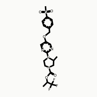 CC1CN(C(=O)OC(C)C(F)(F)F)CCN1c1ncc(OCc2ccc(S(C)(=O)=O)cc2)cn1